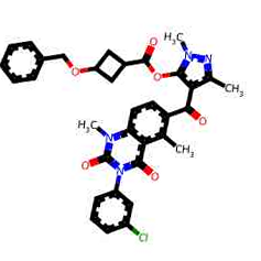 Cc1nn(C)c(OC(=O)C2CC(OCc3ccccc3)C2)c1C(=O)c1ccc2c(c1C)c(=O)n(-c1cccc(Cl)c1)c(=O)n2C